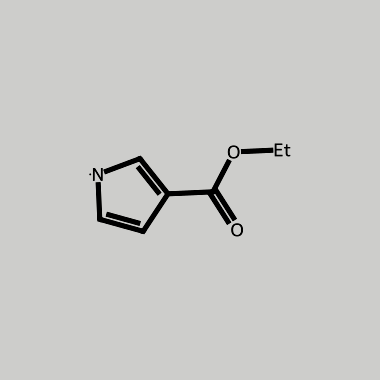 CCOC(=O)C1=C[N]C=C1